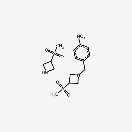 CS(=O)(=O)C1CN(Cc2ccc([N+](=O)[O-])cc2)C1.CS(=O)(=O)C1CNC1